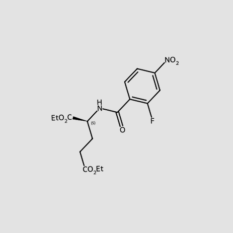 CCOC(=O)CC[C@H](NC(=O)c1ccc([N+](=O)[O-])cc1F)C(=O)OCC